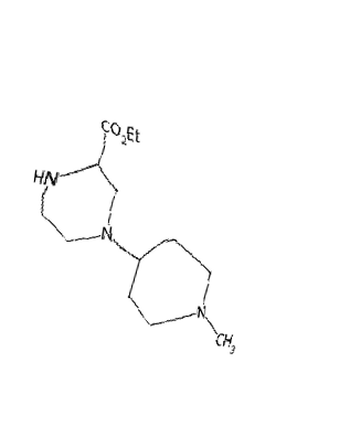 CCOC(=O)C1CN(C2CCN(C)CC2)CCN1